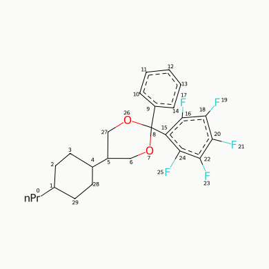 CCCC1CCC(C2COC(c3ccccc3)(c3c(F)c(F)c(F)c(F)c3F)OC2)CC1